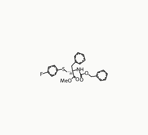 COC(=O)[C@@](CSc1ccc(F)cc1)(Cc1ccccc1)NC(=O)OCc1ccccc1